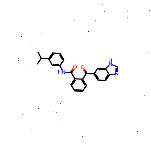 CC(C)c1cccc(NC(=O)c2ccccc2C(=O)c2ccc3n[c][nH]c3c2)c1